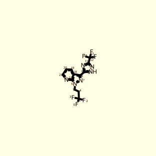 FC(F)(F)CCn1nc(-c2nc(C(F)(F)F)n[nH]2)c2cccnc21